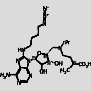 CCCN(CC[C@H](C)C(=O)O)C[C@H]1O[C@@H](n2c(NCCCCN=[N+]=[N-])nc3c(N)ncnc32)C(O)[C@H]1O